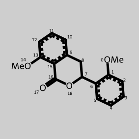 COc1ccccc1C1Cc2cccc(OC)c2C(=O)O1